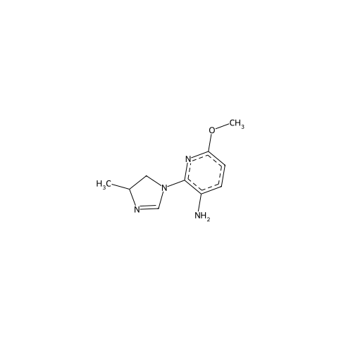 COc1ccc(N)c(N2C=NC(C)C2)n1